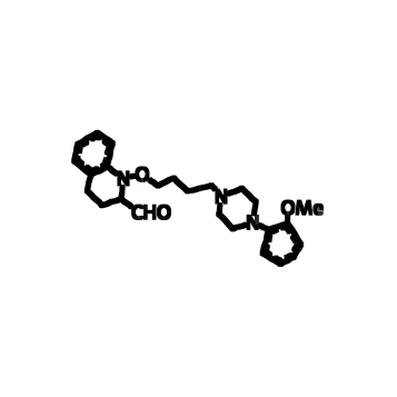 COc1ccccc1N1CCN(CCCCON2c3ccccc3CCC2C=O)CC1